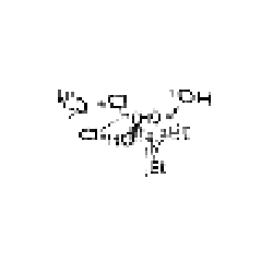 CCN(CC)CC.CO.ClCCl.O.O=CO